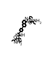 CC[C@H](N)C(=O)N1C[Si](C)(C)C[C@H]1c1ncc(-c2ccc(-c3ccc4c(ccc5nc([C@@H]6CCCN6C(=O)[C@@H](N)CC)[nH]c54)c3)cc2)[nH]1